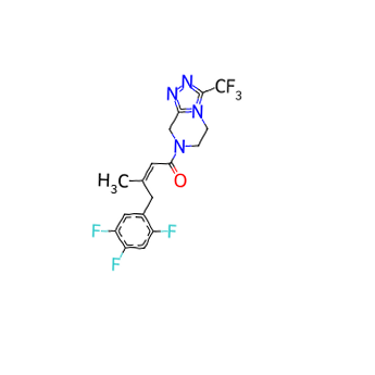 CC(=CC(=O)N1CCn2c(nnc2C(F)(F)F)C1)Cc1cc(F)c(F)cc1F